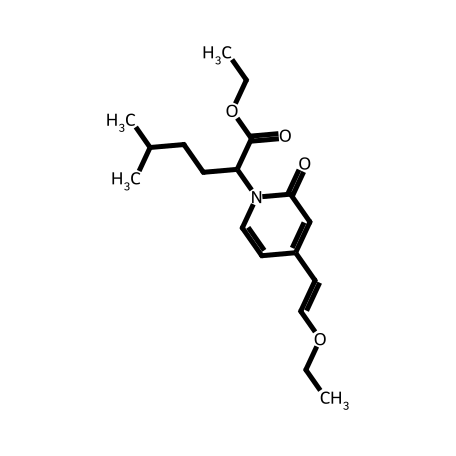 CCO/C=C/c1ccn(C(CCC(C)C)C(=O)OCC)c(=O)c1